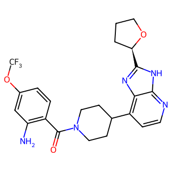 Nc1cc(OC(F)(F)F)ccc1C(=O)N1CCC(c2ccnc3[nH]c([C@H]4CCCO4)nc23)CC1